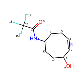 O=C(NC1CC/C=C\C(O)CC1)C(F)(F)F